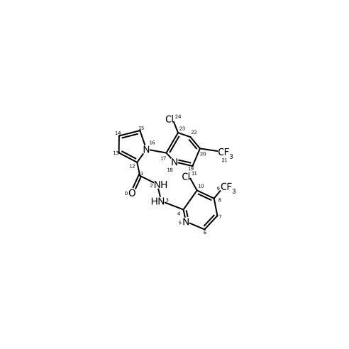 O=C(NNc1nccc(C(F)(F)F)c1Cl)c1cccn1-c1ncc(C(F)(F)F)cc1Cl